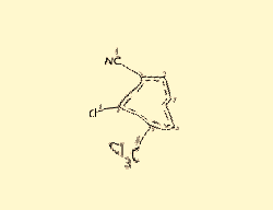 N#Cc1cccc(C(Cl)(Cl)Cl)c1Cl